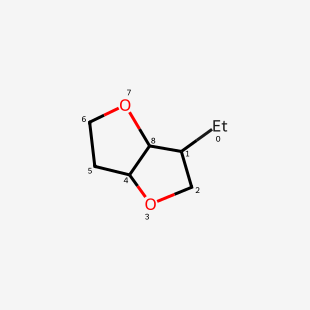 CCC1COC2CCOC12